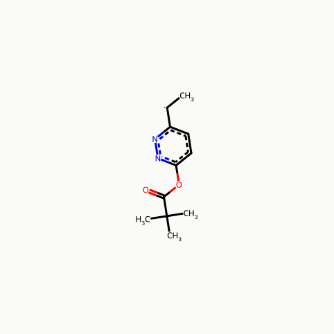 C[CH]c1ccc(OC(=O)C(C)(C)C)nn1